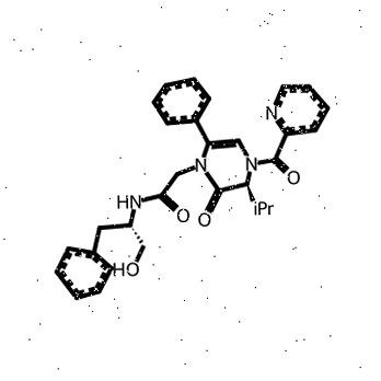 CC(C)[C@H]1C(=O)N(CC(=O)N[C@H](CO)Cc2ccccc2)C(c2ccccc2)=CN1C(=O)c1ccccn1